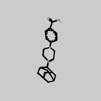 CC(=O)c1ccc(N2CCN(C3C4CC5CC(C4)CC3C5)CC2)cc1